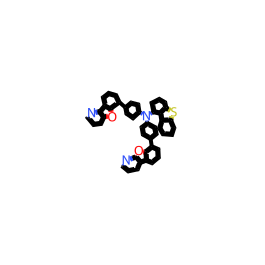 c1cnc2c(c1)oc1c(-c3ccc(N(c4ccc(-c5cccc6c5oc5ncccc56)cc4)c4cccc5sc6ccccc6c45)cc3)cccc12